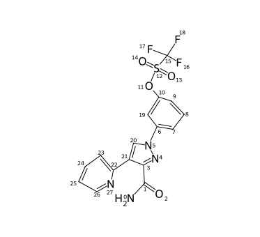 NC(=O)c1nn(-c2cccc(OS(=O)(=O)C(F)(F)F)c2)cc1-c1ccccn1